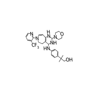 CC(C)(CO)c1ccc(NC2NC(N3CCOCC3)NC3=C2CCN(c2ncccc2C(F)(F)F)C=C3)cc1